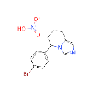 Brc1ccc(C2CCCc3cncn32)cc1.O=[N+]([O-])O